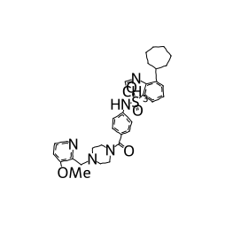 C/C=N\c1c(C2CCCCCC2)cccc1S(=O)(=O)Nc1ccc(C(=O)N2CCN(Cc3ncccc3OC)CC2)cc1